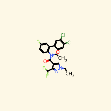 CCn1cc(C(=O)N(C(C)=O)c2ccc(F)cc2-c2ccc(Cl)c(Cl)c2)c(C(F)F)n1